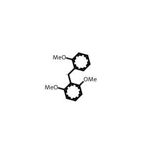 COc1ccccc1[CH]c1c(OC)cccc1OC